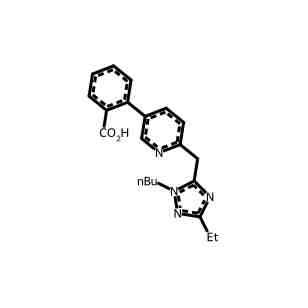 CCCCn1nc(CC)nc1Cc1ccc(-c2ccccc2C(=O)O)cn1